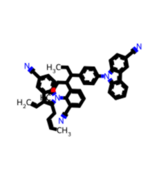 C#CCC(C1=C=CC=C(C#N)C1n1c(C/C=C\C)c(C=C)c2cc(C#N)ccc21)C(CC)c1ccc(-n2c3ccccc3c3cc(C#N)ccc32)cc1